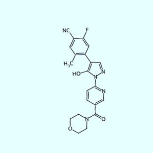 Cc1cc(C#N)c(F)cc1-c1cnn(-c2ccc(C(=O)N3CCOCC3)cn2)c1O